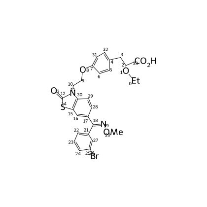 CCOC(Cc1ccc(OCCn2c(=O)sc3cc(C(=NOC)c4cccc(Br)c4)ccc32)cc1)C(=O)O